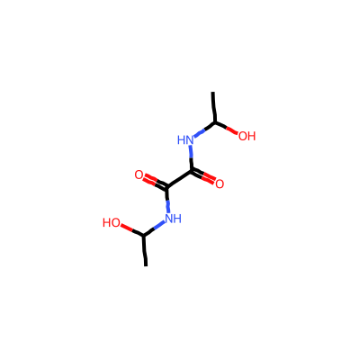 CC(O)NC(=O)C(=O)NC(C)O